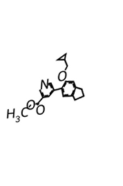 COC(=O)c1cncc(-c2cc3c(cc2OCC2CC2)CCC3)c1